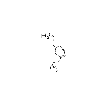 C=CCc1cccc(CC=C)c1